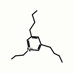 CCCCc1cc(CCCC)c[n+](CCC)c1